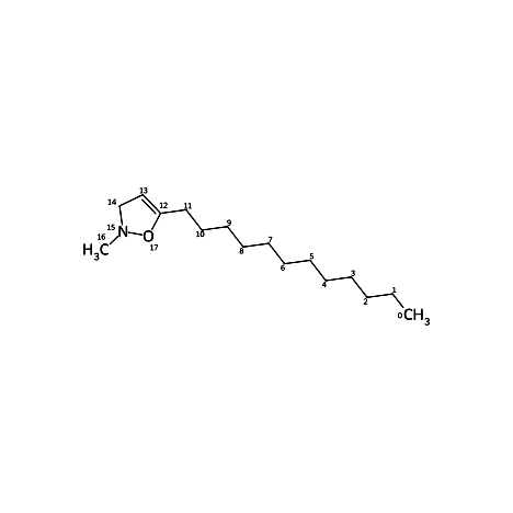 CCCCCCCCCCCCC1=CCN(C)O1